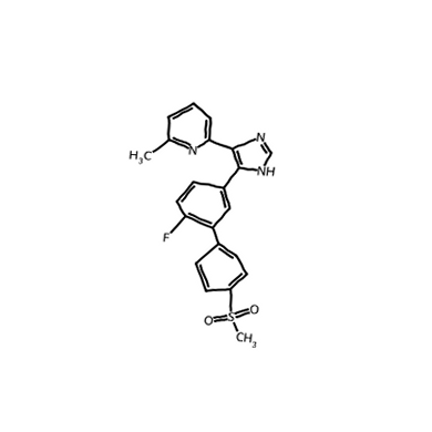 Cc1cccc(-c2nc[nH]c2-c2ccc(F)c(-c3ccc(S(C)(=O)=O)cc3)c2)n1